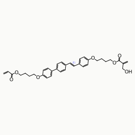 C=CC(=O)OCCCCOc1ccc(-c2ccc(/C=C/c3ccc(OCCCCOC(=O)C(=C)CO)cc3)cc2)cc1